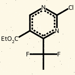 CCOC(=O)c1cnc(Cl)nc1C(C)(F)F